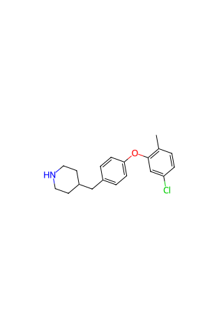 Cc1ccc(Cl)cc1Oc1ccc(CC2CCNCC2)cc1